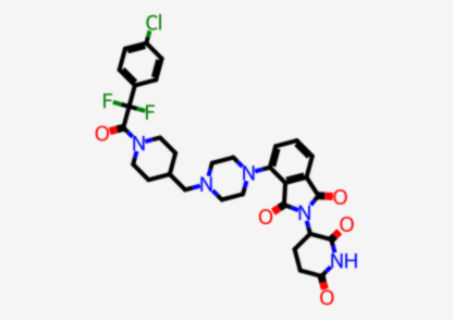 O=C1CCC(N2C(=O)c3cccc(N4CCN(CC5CCN(C(=O)C(F)(F)c6ccc(Cl)cc6)CC5)CC4)c3C2=O)C(=O)N1